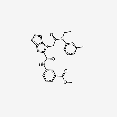 CCN(C(=O)Cn1c(C(=O)Nc2cccc(C(=O)OC)c2)cc2sccc21)c1cccc(C)c1